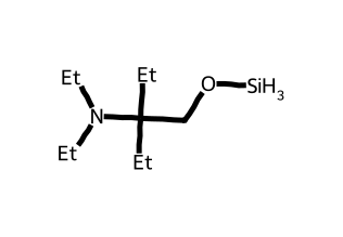 CCN(CC)C(CC)(CC)CO[SiH3]